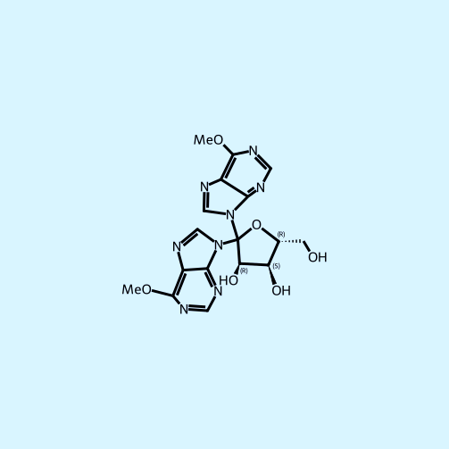 COc1ncnc2c1ncn2C1(n2cnc3c(OC)ncnc32)O[C@H](CO)[C@@H](O)[C@H]1O